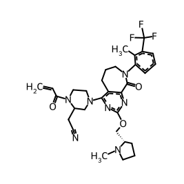 C=CC(=O)N1CCN(c2nc(OC[C@@H]3CCCN3C)nc3c2CCCN(c2cccc(C(F)(F)F)c2C)C3=O)CC1CC#N